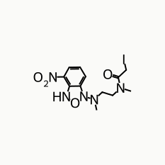 CN(CCN(C)N1ONc2c1cccc2[N+](=O)[O-])C(=O)CI